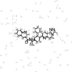 Cc1nnc2c3cc(-c4ccccc4)c(-c4ccc(C5(NC(=O)c6cnc7ccccc7c6)CC5)cc4)nc3ccn12